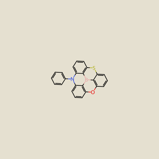 c1ccc(N2c3cccc4c3B3c5c(cccc5Sc5cccc2c53)O4)cc1